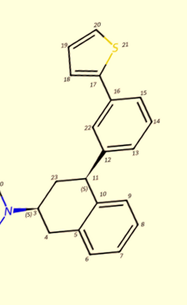 CN(C)[C@@H]1Cc2ccccc2[C@H](c2cccc(-c3cccs3)c2)C1